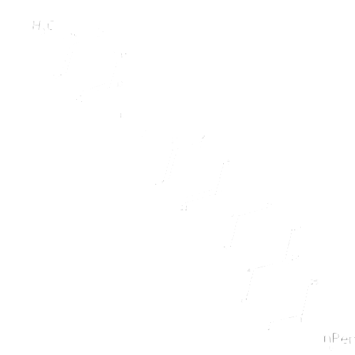 CCCCCC1CCC2CC(c3ccc(C#Cc4ccc(C)cc4)cc3)CCC2C1